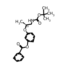 C[C@@H](CNC(=O)OC(C)(C)C)Oc1cccc(OC(=O)c2ccccc2)c1